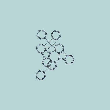 CC(C)(C)[Si](c1ccccc1)(c1ccccc1)c1cccc2c3ccccc3n(-c3cccc4c5ccccc5n(-c5ccc(-c6ccccc6)cc5)c34)c12